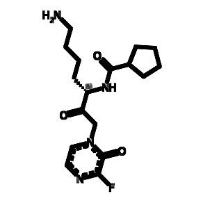 NCCCC[C@H](NC(=O)C1CCCC1)C(=O)Cn1ccnc(F)c1=O